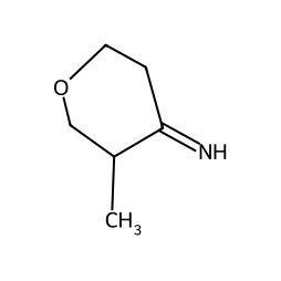 CC1COCCC1=N